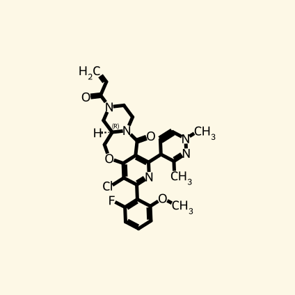 C=CC(=O)N1CCN2C(=O)c3c(C4C#CN(C)N=C4C)nc(-c4c(F)cccc4OC)c(Cl)c3OC[C@H]2C1